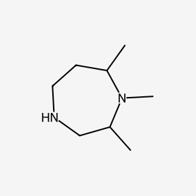 CC1CCNCC(C)N1C